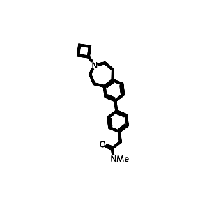 CNC(=O)Cc1ccc(-c2ccc3c(c2)CCN(C2CCC2)CC3)cc1